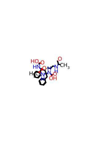 CC(C=O)NCCC[C@@H](Cc1ccccc1)C(Cc1ccccc1)(NC(=O)O)N[C@@H](C)C(=O)NC(=O)O